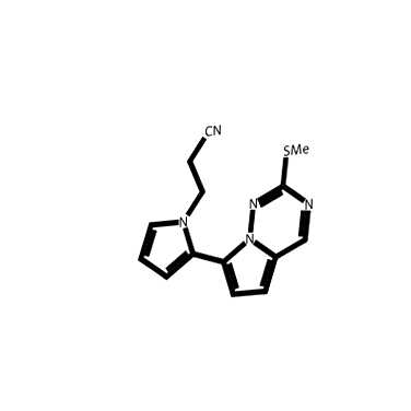 CSc1ncc2ccc(-c3cccn3CCC#N)n2n1